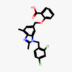 Cc1cc(COc2ccccc2C(=O)O)cc2c1nc(C)n2Cc1ccc(Cl)cc1Cl